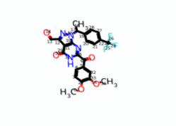 COc1ccc(C(=O)c2nc3c(c(C=O)nn3C(C)c3ccc(C(F)(F)F)cc3)c(=O)[nH]2)cc1OC